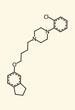 Clc1ccccc1N1CCN(CCCCOc2ccc3c(c2)CCC3)CC1